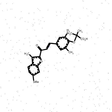 CSc1ccc2c(C)c(C(=O)/C=C/c3cc(C)c(OC(C)(C)C(=O)O)c(C)c3)sc2c1